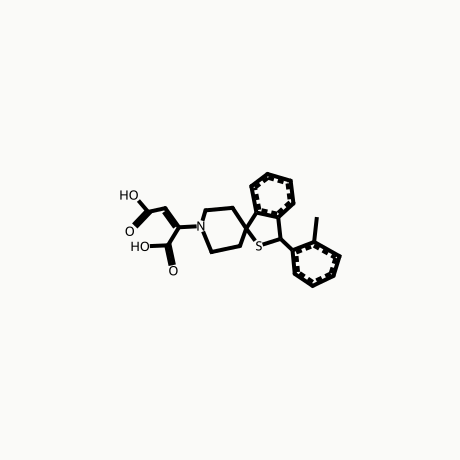 Cc1ccccc1C1SC2(CCN(C(=CC(=O)O)C(=O)O)CC2)c2ccccc21